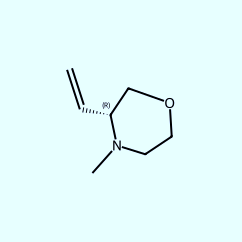 C=C[C@@H]1COCCN1C